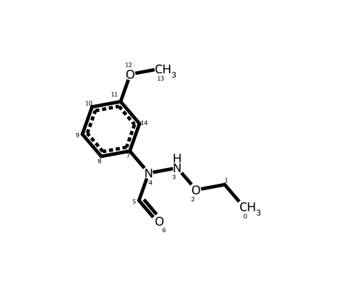 CCONN(C=O)c1cccc(OC)c1